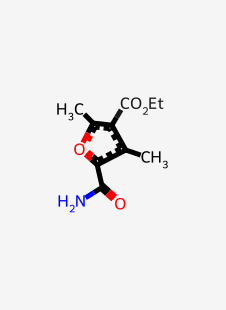 CCOC(=O)c1c(C)oc(C(N)=O)c1C